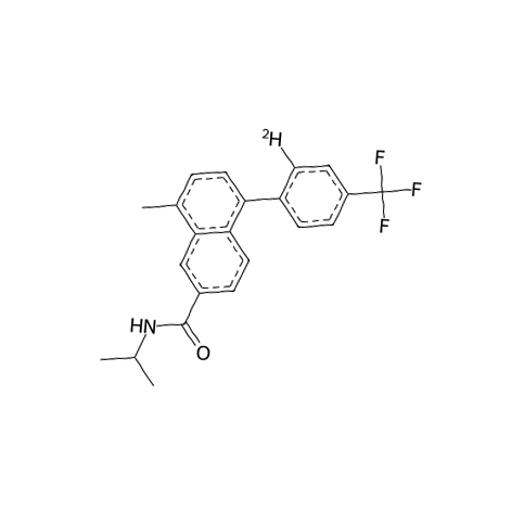 [2H]c1cc(C(F)(F)F)ccc1-c1ccc(C)c2cc(C(=O)NC(C)C)ccc12